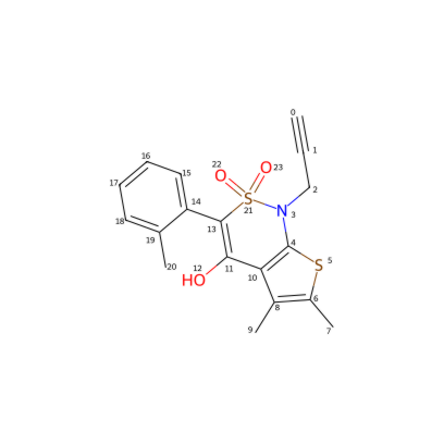 C#CCN1c2sc(C)c(C)c2C(O)=C(c2ccccc2C)S1(=O)=O